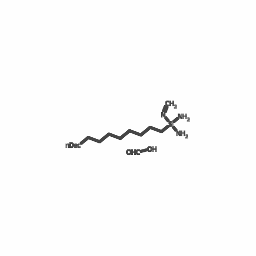 C=N[Si](N)(N)CCCCCCCCCCCCCCCCCC.O=CO